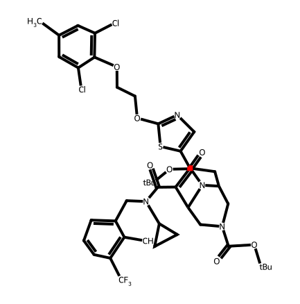 Cc1cc(Cl)c(OCCOc2ncc(C3=C(C(=O)N(Cc4cccc(C(F)(F)F)c4C)C4CC4)C4CN(C(=O)OC(C)(C)C)CC(C3)N4C(=O)OC(C)(C)C)s2)c(Cl)c1